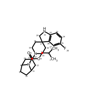 CC(C)COC(=O)N1C2CCC1CC(N1CCC3(CC1)CNc1ccc(F)cc13)C2